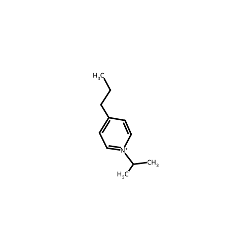 CCCc1cc[n+](C(C)C)cc1